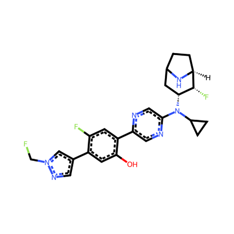 Oc1cc(-c2cnn(CF)c2)c(F)cc1-c1cnc(N(C2CC2)[C@@H]2CC3CC[C@H](N3)[C@@H]2F)cn1